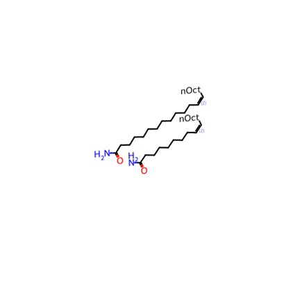 CCCCCCCC/C=C\CCCCCCCC(N)=O.CCCCCCCC/C=C\CCCCCCCCCCCC(N)=O